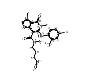 Cc1csc2c(C(=O)N(N)CCCN=O)c(Nc3ccc(I)cc3Cl)n(C)c(=O)c12